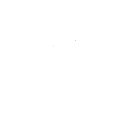 C=Cc1ccnc2c(OCOC)c3c(cc12)CN(Cc1ccc(F)c(Cl)c1)C3=O